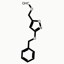 O=COCc1cc(OCc2ccccc2)no1